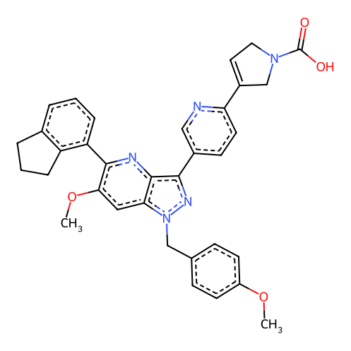 COc1ccc(Cn2nc(-c3ccc(C4=CCN(C(=O)O)C4)nc3)c3nc(-c4cccc5c4CCC5)c(OC)cc32)cc1